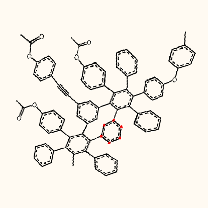 CC(=O)Oc1ccc(C#Cc2cc(-c3c(-c4ccccc4)c(-c4ccccc4)c(C)c(-c4ccccc4)c3-c3ccc(OC(C)=O)cc3)cc(-c3c(-c4ccccc4)c(-c4ccccc4)c(-c4ccc(Oc5ccc(C)cc5)cc4)c(-c4ccccc4)c3-c3ccc(OC(C)=O)cc3)c2)cc1